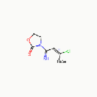 CN/C(Cl)=C\C(=N)N1CCOC1=O